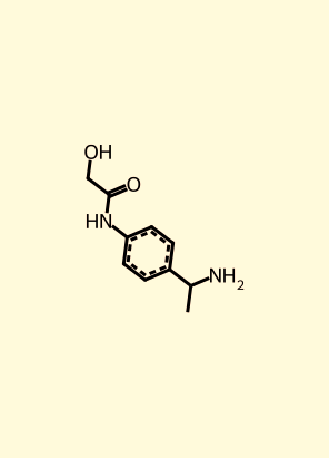 CC(N)c1ccc(NC(=O)CO)cc1